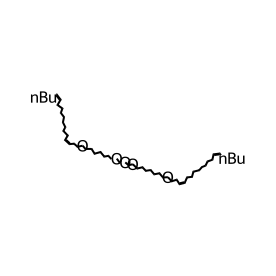 CCCC/C=C\CCCCCCCC/C=C\CCOCCCCCCCOCOCOCCCCCCCOCC/C=C\CCCCCCCC/C=C\CCCC